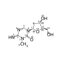 Cn1c(=N)ncn([C@H]2C[C@@H](O)[C@@H](CO)O2)c1=O